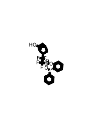 O=S(=O)(O[I+](c1ccccc1)c1ccccc1)C(F)(F)C(F)(F)C1CC2CC(O)C1C2